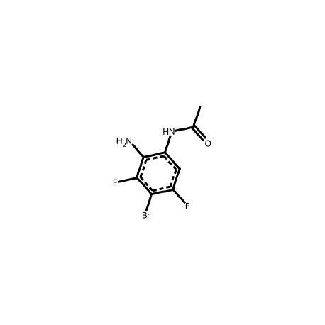 CC(=O)Nc1cc(F)c(Br)c(F)c1N